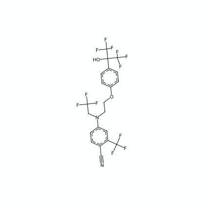 N#Cc1ccc(N(CCOc2ccc(C(O)(C(F)(F)F)C(F)(F)F)cc2)CC(F)(F)F)cc1C(F)(F)F